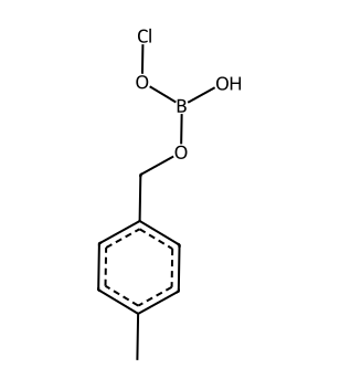 Cc1ccc(COB(O)OCl)cc1